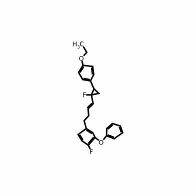 CCOc1ccc(C2CC2(F)C=CCCc2ccc(F)c(Oc3ccccc3)c2)cc1